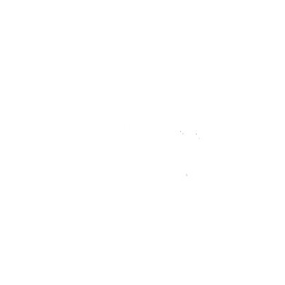 Brc1cnn2ccc(OCC3CC3)cc12